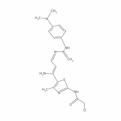 C=C(/N=C\C=C(/N)c1sc(NC(=O)CCl)nc1C)Nc1ccc(N(C)C)cc1